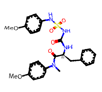 COc1ccc(NS(=O)(=O)NC(=O)N[C@@H](Cc2ccccc2)C(=O)N(C)c2ccc(OC)cc2)cc1